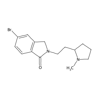 CN1CCCC1CCN1Cc2cc(Br)ccc2C1=O